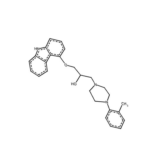 Cc1ccccc1N1CCN(CC(O)COc2cccc3[nH]c4ccccc4c23)CC1